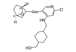 OCC1CCC(CNc2cc(Cl)ncc2C#CC2C[C@H]3CC[C@H]2O3)CC1